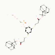 COOOSCS(=O)(=O)Oc1cc(SCCC(=O)OC(C)(C)C23CC4CC(CC(C4)C2)C3)cc(SCCC(=O)OC(C)(C)C23CC4CC(CC(C4)C2)C3)c1